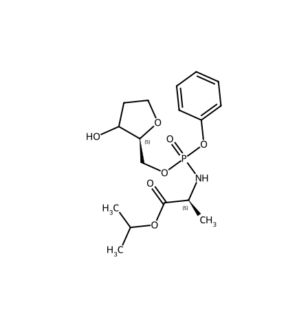 CC(C)OC(=O)[C@H](C)NP(=O)(OC[C@@H]1OCCC1O)Oc1ccccc1